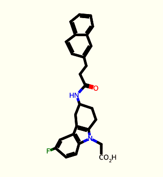 O=C(O)Cn1c2c(c3cc(F)ccc31)CC(NC(=O)CCc1ccc3ccccc3c1)CC2